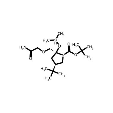 C[SiH](C)O[C@]1(COCC(N)=O)C[C@H](C(C)(C)C)CN1C(=O)OC(C)(C)C